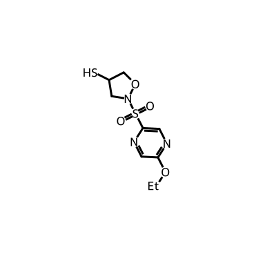 CCOc1cnc(S(=O)(=O)N2CC(S)CO2)cn1